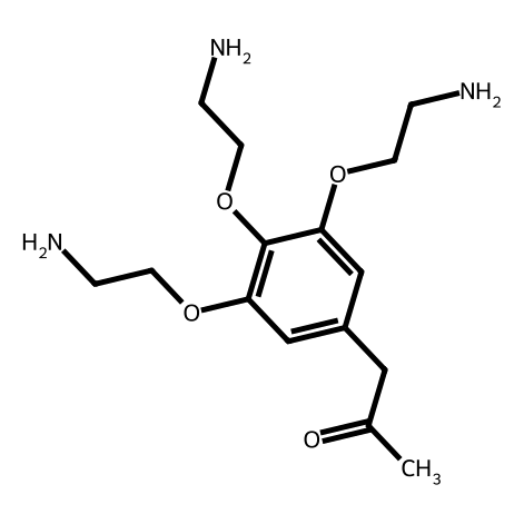 CC(=O)Cc1cc(OCCN)c(OCCN)c(OCCN)c1